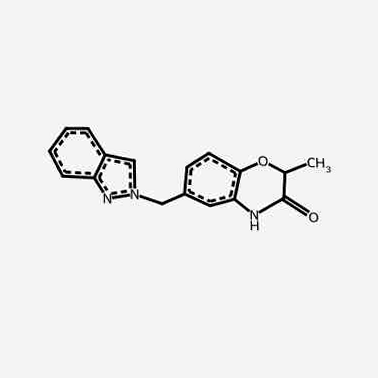 CC1Oc2ccc(Cn3cc4ccccc4n3)cc2NC1=O